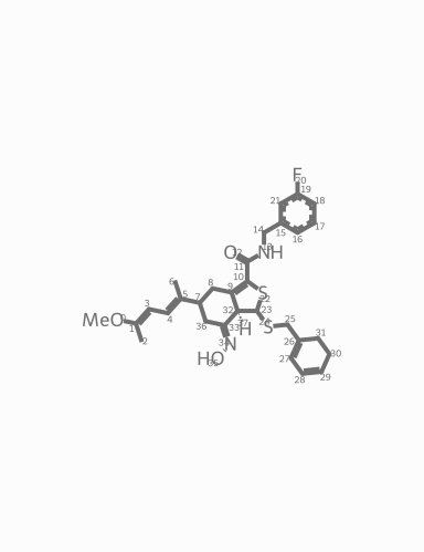 CO/C(C)=C/C=C(\C)C1CC2=C(C(=O)NCc3cccc(F)c3)SC(SCC3=CC=CCC3)[C@H]2/C(=N/O)C1